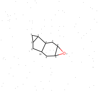 C1C2CC2C2CC3OC3CC12